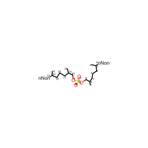 CCCCCCCCCC(C)CCCC(C)COS(=O)(=O)OCC(C)CCCC(C)CCCCCCCCC